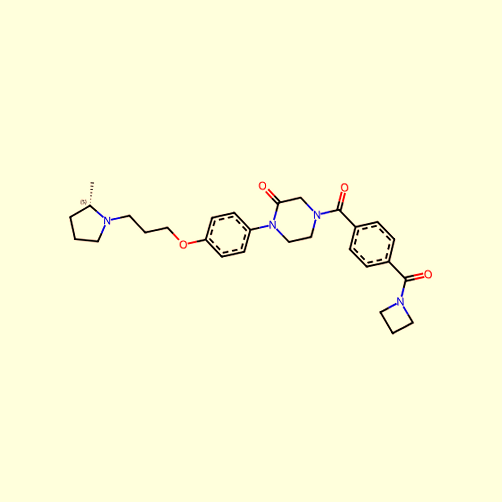 C[C@H]1CCCN1CCCOc1ccc(N2CCN(C(=O)c3ccc(C(=O)N4CCC4)cc3)CC2=O)cc1